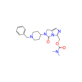 CN(C)C(=O)OCc1ncc2n1C(=O)N(C1CCN(Cc3ccccc3)CC1)C2